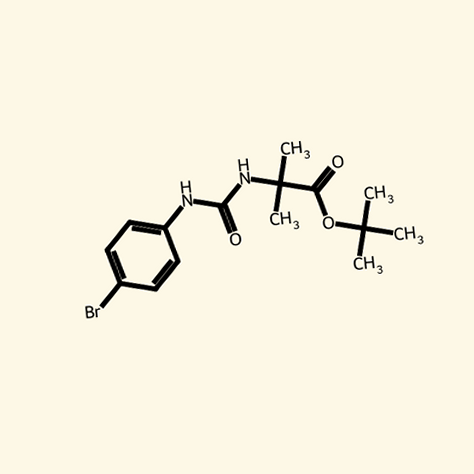 CC(C)(C)OC(=O)C(C)(C)NC(=O)Nc1ccc(Br)cc1